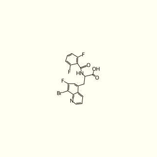 O=C(NC(Cc1cc(F)c(Br)c2ncccc12)C(=O)O)c1c(F)cccc1F